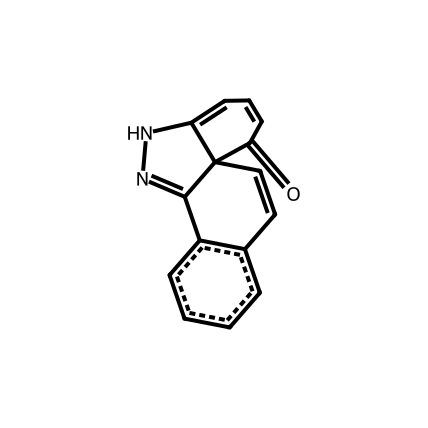 O=C1C=CC=C2NN=C3c4ccccc4C=CC123